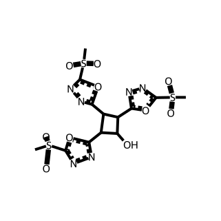 CS(=O)(=O)c1nnc(C2C(O)C(c3nnc(S(C)(=O)=O)o3)C2c2nnc(S(C)(=O)=O)o2)o1